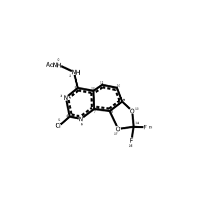 CC(=O)NNc1nc(Cl)nc2c3c(ccc12)OC(F)(F)O3